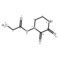 CCC(=O)ON1CCNC(=O)C1=O